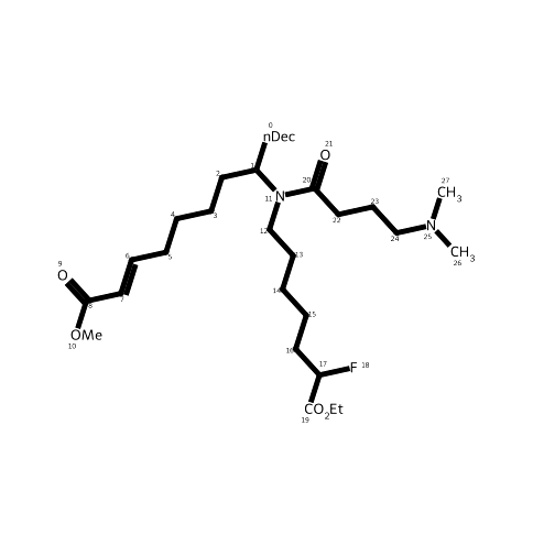 CCCCCCCCCCC(CCCCC=CC(=O)OC)N(CCCCCC(F)C(=O)OCC)C(=O)CCCN(C)C